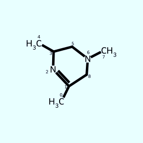 CC1=NC(C)CN(C)C1